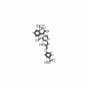 CCCC[S+]([O-])c1ccc(OCC(O)CN2CCN(C(C(N)=O)c3c(OCC)cccc3OCC)CC2)cc1